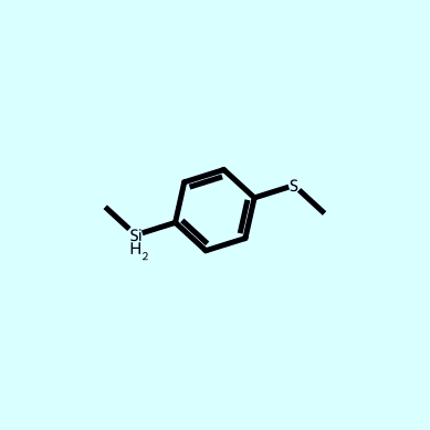 C[SiH2]c1ccc(SC)cc1